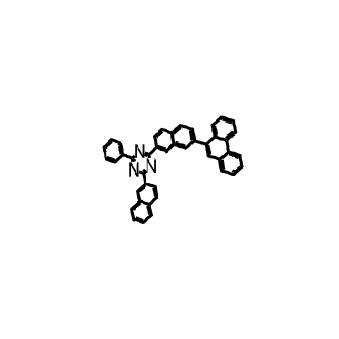 c1ccc(-c2nc(-c3ccc4ccccc4c3)nc(-c3ccc4ccc(-c5cc6ccccc6c6ccccc56)cc4c3)n2)cc1